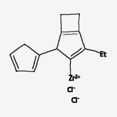 CCC1=[C]([Zr+2])C(C2=CC=CC2)C2=C1CC2.[Cl-].[Cl-]